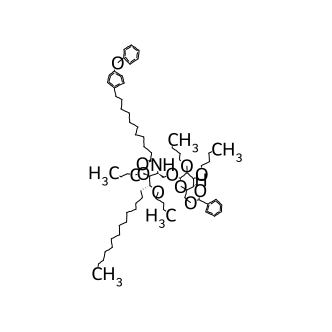 CCCCCCCCCCCCCC[C@@H](OCCCC)[C@@H](OCCCC)[C@H](CO[C@H]1OC2COC(c3ccccc3)O[C@@H]2[C@H](OCCCC)C1OCCCC)NC(=O)CCCCCCCCCCc1ccc(Oc2ccccc2)cc1